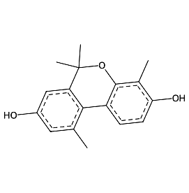 Cc1cc(O)cc2c1-c1ccc(O)c(C)c1OC2(C)C